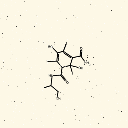 CC(CO)NC(=O)C1C(I)=C(O)C(I)=C(C(N)=O)C1(O)I